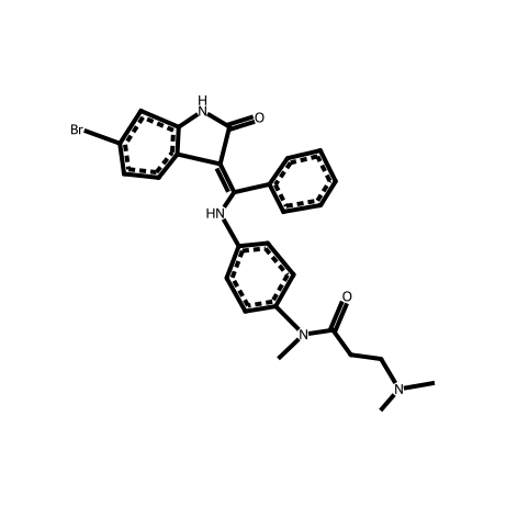 CN(C)CCC(=O)N(C)c1ccc(NC(=C2C(=O)Nc3cc(Br)ccc32)c2ccccc2)cc1